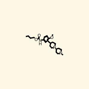 CCCCOC(=O)Nc1ccc(OC)c(C2CCN(C3CCN(C)CC3)CC2)c1